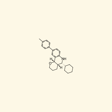 Cc1ccc(-c2ccc3c(c2)[C@H]2OCCC[C@H]2[C@@H](C2CCCCC2)N3)cc1